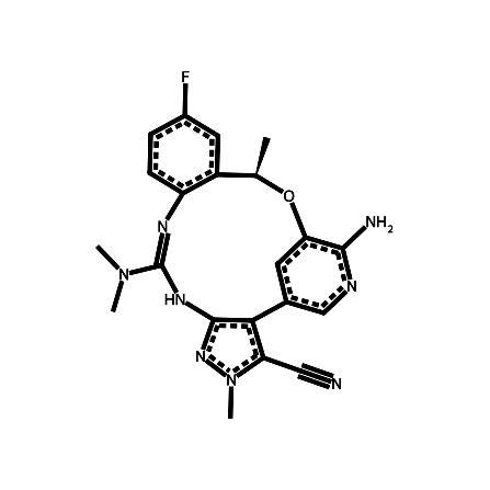 C[C@H]1Oc2cc(cnc2N)-c2c(nn(C)c2C#N)N/C(N(C)C)=N\c2ccc(F)cc21